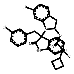 O=C(NC1CCC1)OC1Cc2ccc(Cl)cc2N1C1(Cc2cccc(Cl)c2)C(=O)Nc2cc(Cl)ccc21